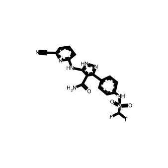 N#Cc1cccc(Nc2[nH]nc(-c3ccc(NS(=O)(=O)C(F)F)cc3)c2C(N)=O)n1